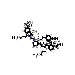 CCCCN1/C(=C/C=C2\CCCC(/C=C/C3=[N+](CCCC)c4ccc(S(=O)(=O)O)cc4C3(C)C)=C2NCCc2ccc(N)cc2)C(C)(C)c2cc(S(=O)(=O)O)ccc21